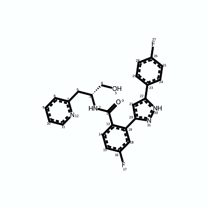 O=C(N[C@@H](CO)Cc1ccccn1)c1ccc(F)cc1-c1cc(-c2ccc(F)cc2)[nH]n1